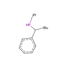 CC(C)PC(c1ccccc1)C(C)(C)C